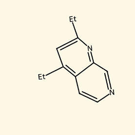 CCc1cc(CC)c2ccncc2n1